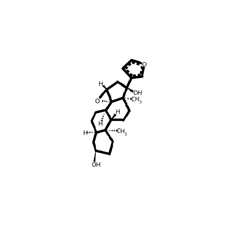 C[C@]12CC[C@@H](O)C[C@H]1CC[C@@H]1[C@@H]2CC[C@@]2(C)[C@@]13O[C@@H]3C[C@]2(O)c1ccoc1